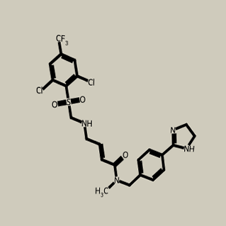 CN(Cc1ccc(C2=NCCN2)cc1)C(=O)C=CCNCS(=O)(=O)c1c(Cl)cc(C(F)(F)F)cc1Cl